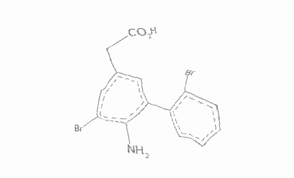 Nc1c(Br)cc(CC(=O)O)cc1-c1ccccc1Br